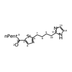 CCCCCC(=O)c1ccc(CCCCc2ncc[nH]2)s1